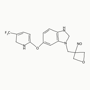 O=NC1(CN2CNc3ccc(OC4=CC=C(C(F)(F)F)CN4)cc32)COC1